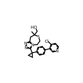 CC1(CO)Cc2nnc(C3(c4ccc(-c5cnccc5Cl)cc4)CC3)n2CCS1